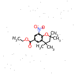 CCOC(=O)c1cc([N+](=O)[O-])c2c(c1)C(C)(C)CC(C)(C)O2